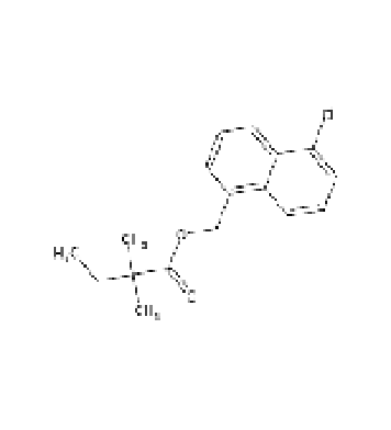 CCC(C)(C)C(=O)OCc1cccc2c(Cl)cccc12